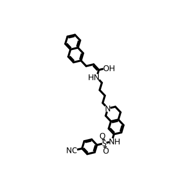 N#Cc1ccc(S(=O)(=O)Nc2ccc3c(c2)CN(CCCCN/C(O)=C\Cc2ccc4ccccc4c2)CC3)cc1